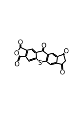 O=C1CC(=O)c2cc3c(=O)c4cc5c(cc4sc3cc21)C(=O)OC5=O